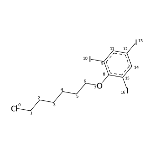 ClCCCCCCOc1c(I)cc(I)cc1I